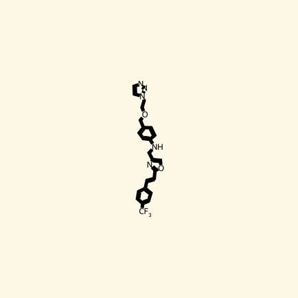 FC(F)(F)c1ccc(C=Cc2nc(CNc3ccc(COCCn4ccnn4)cc3)co2)cc1